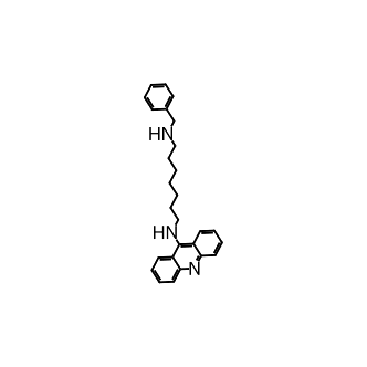 c1ccc(CNCCCCCCCNc2c3ccccc3nc3ccccc23)cc1